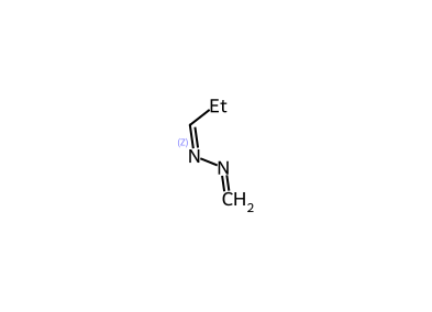 C=N/N=C\CC